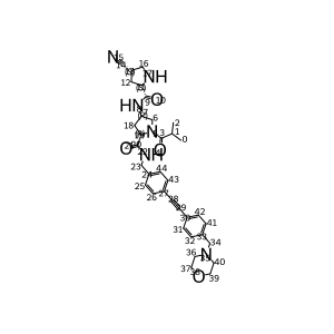 CC(C)C(=O)N1C[C@H](NC(=O)[C@@H]2C[C@H](C#N)CN2)C[C@@H]1C(=O)NCc1ccc(C#Cc2ccc(CN3CCOCC3)cc2)cc1